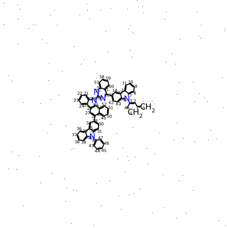 C=C/C=C(\C=C)n1c2ccccc2c2cc(-c3nc(-n4c5ccccc5c5cc(-c6ccc7c(c6)c6ccccc6n7-c6ccccc6)c6ccccc6c54)nc4ccccc34)ccc21